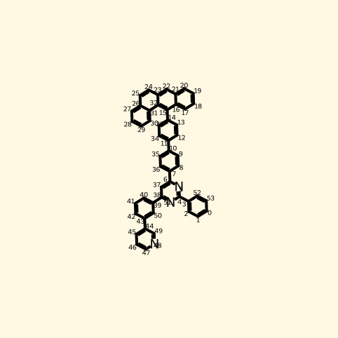 c1ccc(-c2nc(-c3ccc(-c4ccc(-c5c6ccccc6cc6ccc7ccccc7c56)cc4)cc3)cc(-c3cccc(-c4cccnc4)c3)n2)cc1